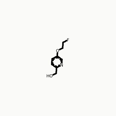 OCc1ccc(OCCF)cn1